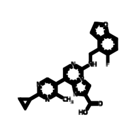 Cc1nc(C2CC2)ncc1-c1cnc(NCc2c(F)ccc3occc23)n2cc(C(=O)O)nc12